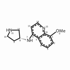 COc1cccc2c(N[C@@H]3CCNC3)ccnc12